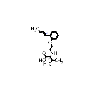 CC/C=C/c1ccccc1OCCN[C@H](C(=O)O)C(C)C